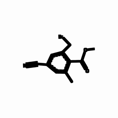 COC(=O)c1c(C)cc(C#N)cc1CBr